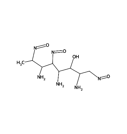 CC(N=O)C(N)C(N=O)C(N)C(O)C(N)CN=O